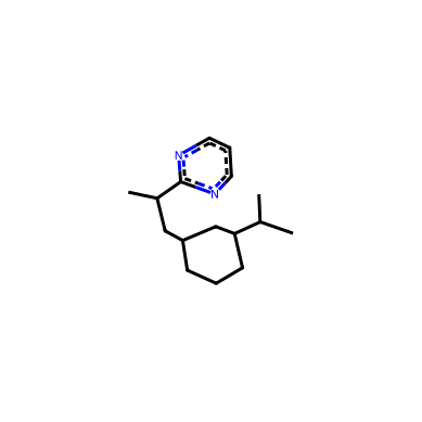 CC(CC1CCCC(C(C)C)C1)c1ncccn1